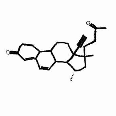 C#CC12CCC3C4CCC(=O)C=C4C=CC3C1[C@@H](C)CC2(C)CCC(C)=O